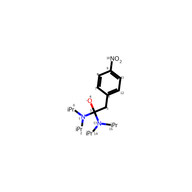 CC(C)N(C(C)C)C([O])(Cc1ccc([N+](=O)[O-])cc1)N(C(C)C)C(C)C